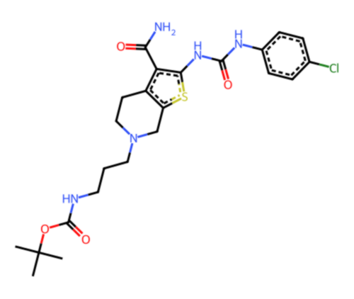 CC(C)(C)OC(=O)NCCCN1CCc2c(sc(NC(=O)Nc3ccc(Cl)cc3)c2C(N)=O)C1